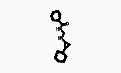 O=C(NCNC1CC1c1ccccc1)c1ccccc1